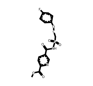 COC(=O)c1ccc(C(=O)NS(=O)(=O)CCOc2ccc(F)cc2)cn1